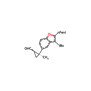 CCCCCc1oc2ccc([C@@]3(C)C[C@H]3C=O)cc2c1C(C)(C)C